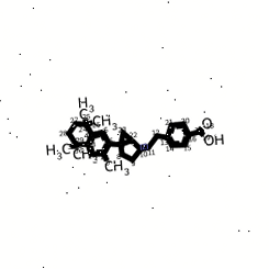 Cc1cc2c(cc1C13CC/C(=C/Cc4ccc(C(=O)O)cc4)C1C3)C(C)(C)CCC2(C)C